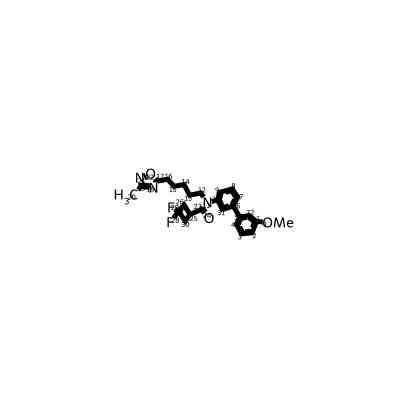 COc1cccc(-c2cccc(N(CCCCCc3nc(C)no3)C(=O)C3CC(F)(F)C3)c2)c1